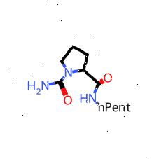 CCCCCNC(=O)C1CCCN1C(N)=O